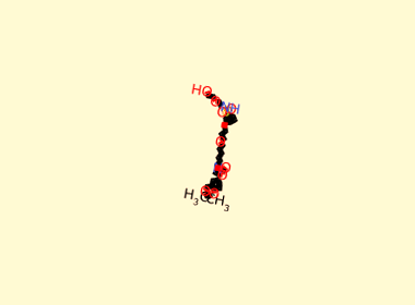 CC1(C)OCc2cc([C@@H]3CN(CCCCCCOCCCCc4cccc(S(=O)(=O)NCCOCCO)c4)C(=O)O3)ccc2O1